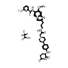 CC(C)Oc1cc2nc(CCCNC(=O)CN3CCC(c4ccc(NC5CCC(=O)NC5=O)cc4)CC3)cn2cc1NC(=O)c1cccc(C(F)(F)F)n1.O=C(O)C(F)(F)F